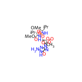 COC(=O)C(CC(C)C)NP(=O)(NC(CC(C)C)C(=O)OC)OC[C@H]1O[C@@H](n2cnc3c(=O)[nH]c(N)nc32)C2(C)OC(=O)OC12